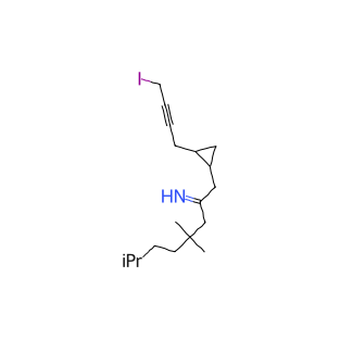 CC(C)CCC(C)(C)CC(=N)CC1CC1CC#CCI